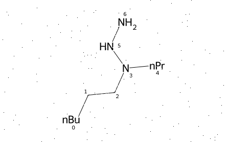 CCCCCCN(CCC)NN